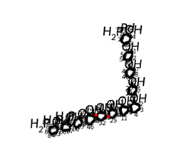 Oc1ccccc1.Oc1ccccc1.Oc1ccccc1.Oc1ccccc1.Oc1ccccc1.Oc1ccccc1.Oc1ccccc1.Oc1ccccc1.Oc1ccccc1P.Oc1ccccc1P.Oc1ccccc1P.Oc1ccccc1P.[Pd]